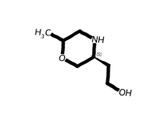 CC1CN[C@@H](CCO)CO1